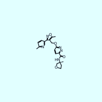 Cc1ccc(-c2noc(C)c2COc2ccc(C(=O)N[C@]3(C)CCOC3)nn2)cn1